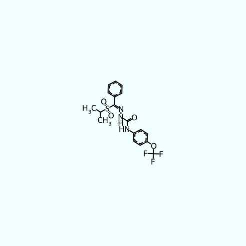 CC(C)S(=O)(=O)C(=NNC(=O)Nc1ccc(OC(F)(F)F)cc1)c1ccccc1